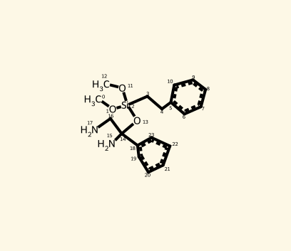 CO[Si](CCc1ccccc1)(OC)OC(N)(CN)c1ccccc1